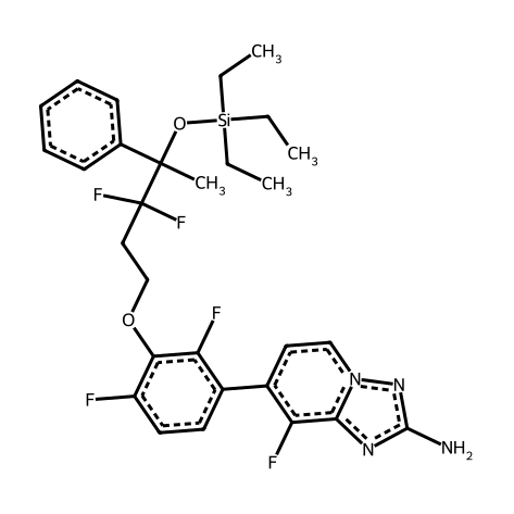 CC[Si](CC)(CC)OC(C)(c1ccccc1)C(F)(F)CCOc1c(F)ccc(-c2ccn3nc(N)nc3c2F)c1F